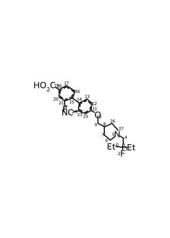 CCC(F)(CC)CN1CCC(COc2ccc(-c3ccc(C(=O)O)cc3F)c(C#N)c2)CC1